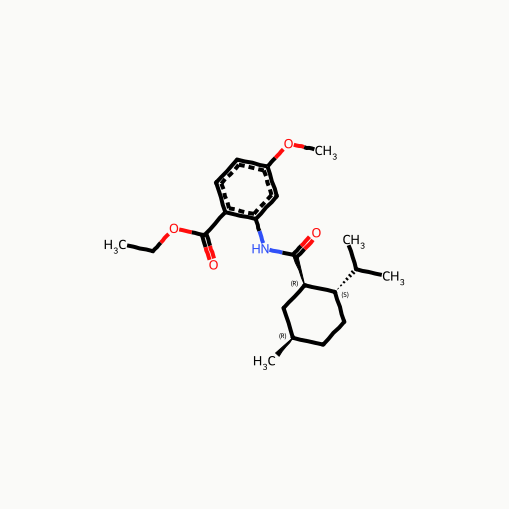 CCOC(=O)c1ccc(OC)cc1NC(=O)[C@@H]1C[C@H](C)CC[C@H]1C(C)C